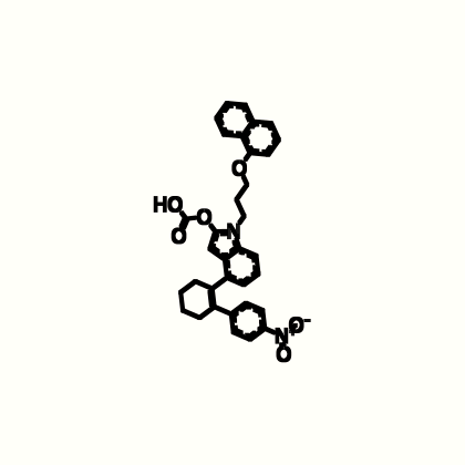 O=C(O)Oc1cc2c(C3=C(c4ccc([N+](=O)[O-])cc4)CCCC3)cccc2n1CCCOc1cccc2ccccc12